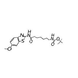 COc1ccc2nc(NC(=O)CCCCCCNC(=O)OC(C)(C)C)sc2c1